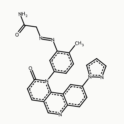 Cc1ccc(-n2c(=O)ccc3cnc4ccc(-n5cccn5)cc4c32)cc1N=NCC(N)=O